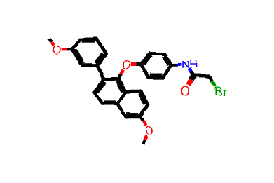 COc1cccc(-c2ccc3cc(OC)ccc3c2Oc2ccc(NC(=O)CBr)cc2)c1